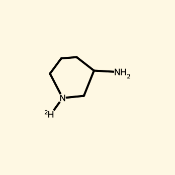 [2H]N1CCCC(N)C1